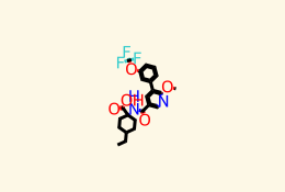 CCC1CCC(NC(=O)c2cnc(OC)c(-c3cccc(OC(F)(F)F)c3)c2)(C(=O)O)CC1